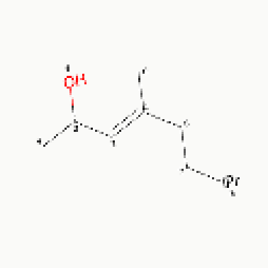 CC(=CC(C)O)CCC(C)C